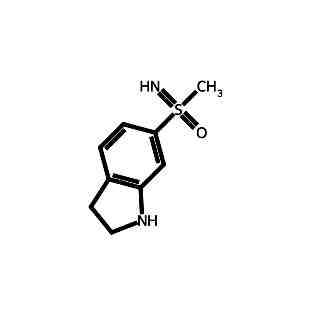 CS(=N)(=O)c1ccc2c(c1)NCC2